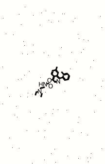 CCN(CC)CCNC(=O)Oc1cnc(-c2ccccc2C)c2cc(C)ccc12